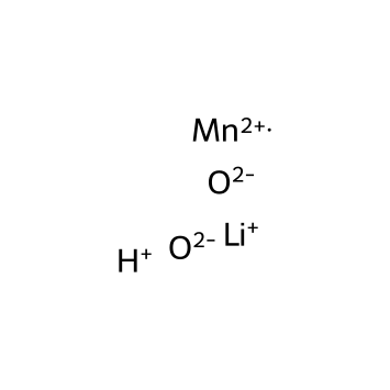 [H+].[Li+].[Mn+2].[O-2].[O-2]